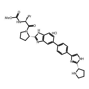 COC(=O)N[C@H](C(=O)N1CCC[C@H]1c1nc2cc(-c3ccc(C4=CNC([C@@H]5CCCN5)=[N+]4)cc3)ccc2[nH]1)C(C)C.Cl